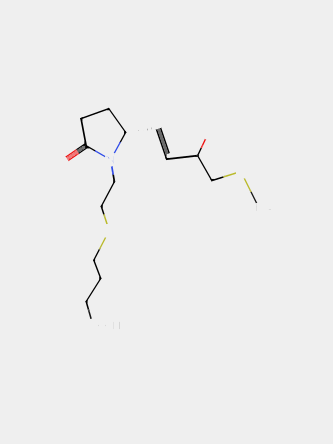 CCCCSCC(O)C=C[C@H]1CCC(=O)N1CCSCCCC(=O)O